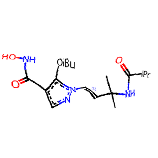 CC(C)COc1c(C(=O)NO)cnn1/C=C/C(C)(C)NC(=O)C(C)C